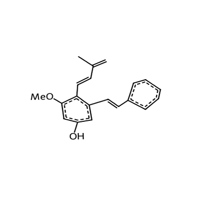 C=C(C)C=Cc1c(C=Cc2ccccc2)cc(O)cc1OC